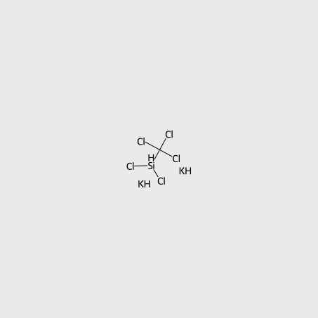 Cl[SiH](Cl)C(Cl)(Cl)Cl.[KH].[KH]